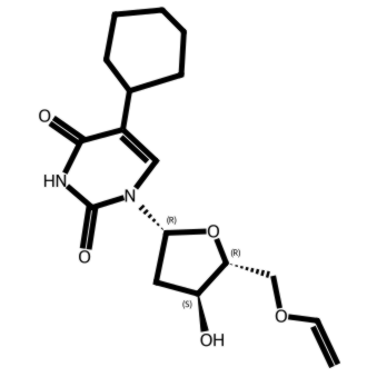 C=COC[C@H]1O[C@@H](n2cc(C3CCCCC3)c(=O)[nH]c2=O)C[C@@H]1O